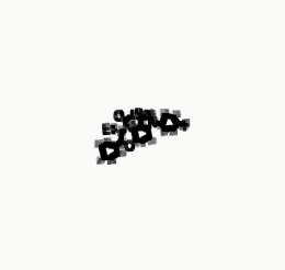 CC[C@H](NC(=O)C(C)(C)C)[C@@H](Oc1ccc2c(cnn2-c2ccc(F)cc2)c1)c1ccccc1